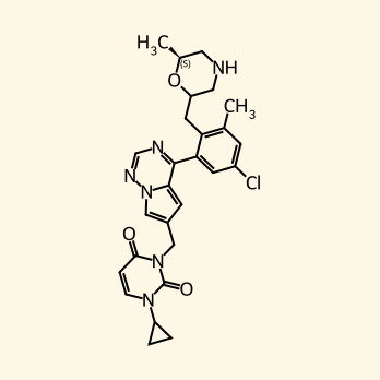 Cc1cc(Cl)cc(-c2ncnn3cc(Cn4c(=O)ccn(C5CC5)c4=O)cc23)c1CC1CNC[C@H](C)O1